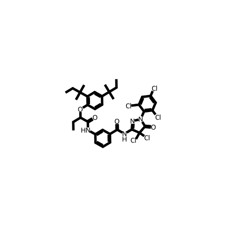 CCC(Oc1ccc(C(C)(C)CC)cc1C(C)(C)CC)C(=O)Nc1cccc(C(=O)NC2=NN(c3c(Cl)cc(Cl)cc3Cl)C(=O)C2(Cl)Cl)c1